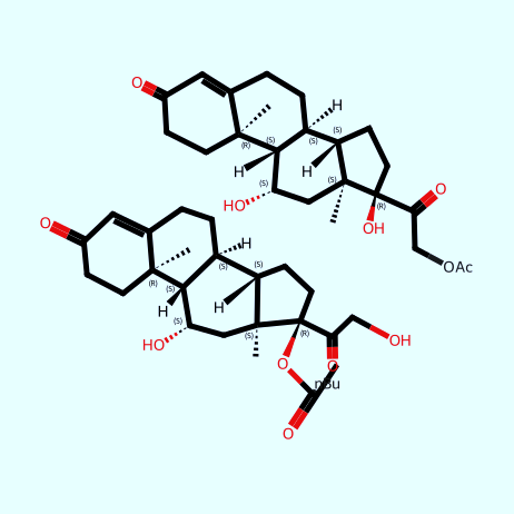 CC(=O)OCC(=O)[C@@]1(O)CC[C@H]2[C@@H]3CCC4=CC(=O)CC[C@]4(C)[C@H]3[C@@H](O)C[C@@]21C.CCCCC(=O)O[C@]1(C(=O)CO)CC[C@H]2[C@@H]3CCC4=CC(=O)CC[C@]4(C)[C@H]3[C@@H](O)C[C@@]21C